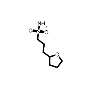 NS(=O)(=O)CCCC1CCCO1